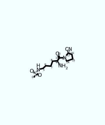 CS(=O)(=O)NCCCC[C@H](N)C(=O)N1CCC[C@H]1C#N